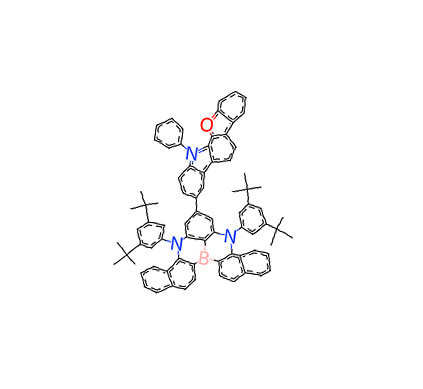 CC(C)(C)c1cc(N2c3cc(-c4ccc5c(c4)c4ccc6c7ccccc7oc6c4n5-c4ccccc4)cc4c3B(c3ccc5ccccc5c32)c2ccc3ccccc3c2N4c2cc(C(C)(C)C)cc(C(C)(C)C)c2)cc(C(C)(C)C)c1